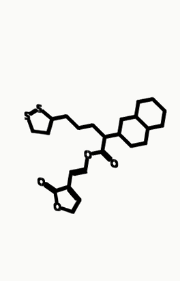 O=C1OCC=C1/C=C/OC(=O)C(CCCC1CCSS1)C1CCC2CCCCC2C1